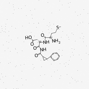 CSCC[C@H](N)C(=O)N[C@@H](CC(=O)O)C(=O)NC(=O)C1CC1c1ccccc1